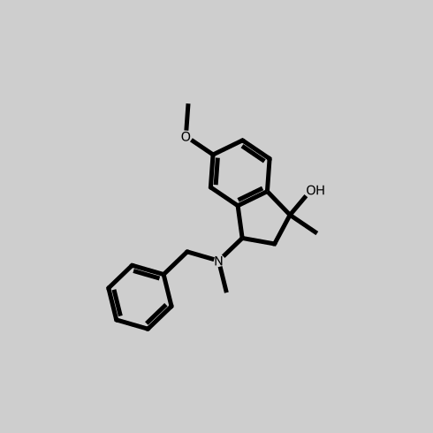 COc1ccc2c(c1)C(N(C)Cc1ccccc1)CC2(C)O